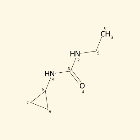 C[CH]NC(=O)NC1CC1